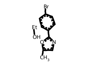 CCO.Cc1cnc(-c2ccc(Br)cc2)o1